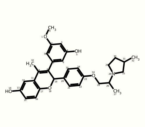 COc1cc(O)cc(C2=C(C)c3cc(O)ccc3OC2c2ccc(OCC(C)N3CCC(C)C3)cc2)c1